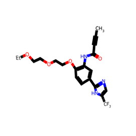 CC#CC(=O)Nc1cc(-c2ncc(C(F)(F)F)[nH]2)ccc1OCCOCCOCC